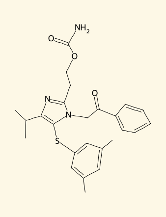 Cc1cc(C)cc(Sc2c(C(C)C)nc(CCOC(N)=O)n2CC(=O)c2ccccc2)c1